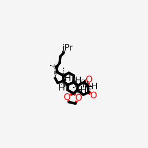 CC(C)CCC[C@@H](C)[C@H]1CC[C@H]2[C@@H]3CC4(OCCO4)[C@H]4CC(=O)[C@@H]5O[C@@H]5[C@]4(C)[C@H]3CC[C@]12C